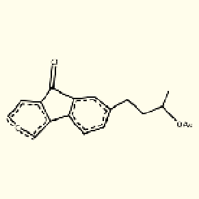 CC(=O)OC(C)CCc1ccc2c(c1)C(=O)c1ccccc1-2